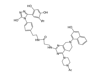 CC(=O)N1CCN(c2nc(NCCC(=O)NCCc3ccc(-n4c(O)nnc4-c4cc(C(C)C)c(O)cc4O)cc3)nc3c2CCN(c2cc(O)cc4ccccc24)C3)CC1